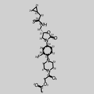 CC(=O)OCC(=O)N1CCN(c2ccc(N3C[C@H](CNC(=S)CC4CC4)OC3=O)cc2F)CC1